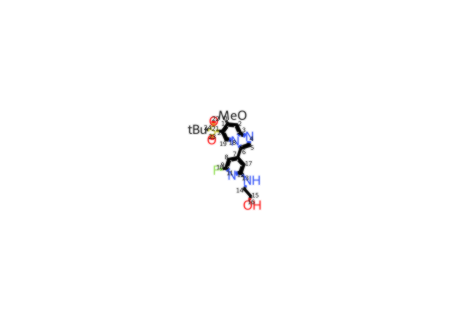 COc1cc2ncc(-c3cc(F)nc(NCCO)c3)n2cc1S(=O)(=O)C(C)(C)C